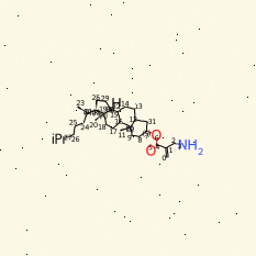 C=C(CN)C(=O)O[C@H]1CC[C@@]2(C)C(CCC3C2CC[C@]2(C)[C@@H]([C@H](C)CCCC(C)C)CC[C@@H]32)C1